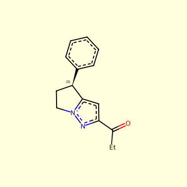 CCC(=O)c1cc2n(n1)CC[C@H]2c1ccccc1